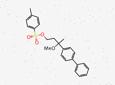 COC(C)(CCOS(=O)(=O)c1ccc(C)cc1)c1ccc(-c2ccccc2)cc1